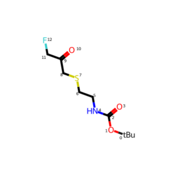 CC(C)(C)OC(=O)NCCSCC(=O)CF